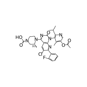 CC(=O)Oc1cnc(C(C)C)c(-n2c(=O)nc(N3CCN(C(=O)O)C[C@@H]3C)c3cc(Cl)c(-c4ccccc4F)nc32)c1C